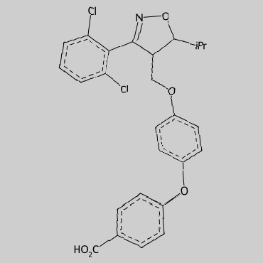 CC(C)C1ON=C(c2c(Cl)cccc2Cl)C1COc1ccc(Oc2ccc(C(=O)O)cc2)cc1